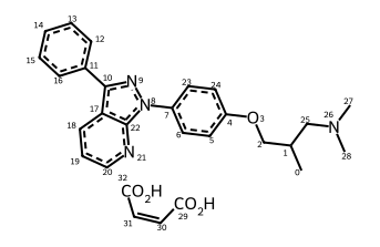 CC(COc1ccc(-n2nc(-c3ccccc3)c3cccnc32)cc1)CN(C)C.O=C(O)/C=C\C(=O)O